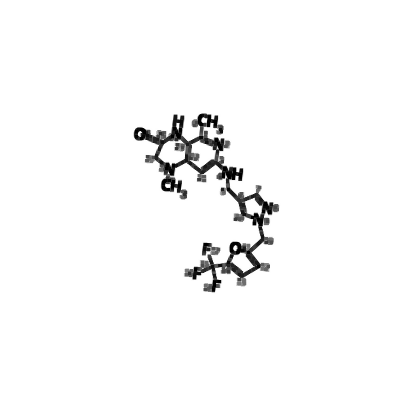 Cc1nc(NCc2cnn(Cc3ccc(C(F)(F)F)o3)c2)cc2c1NC(=O)CN2C